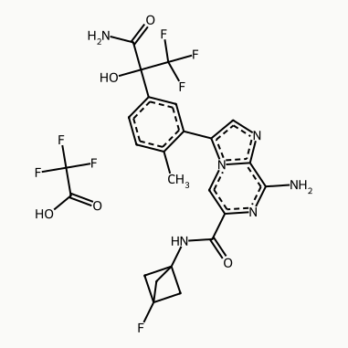 Cc1ccc(C(O)(C(N)=O)C(F)(F)F)cc1-c1cnc2c(N)nc(C(=O)NC34CC(F)(C3)C4)cn12.O=C(O)C(F)(F)F